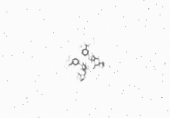 CC(F)(F)c1cc(-n2cc(Cn3ccnc3CCO)nn2)ccc1F.Cc1nccn1Cc1cn(-c2ccc(F)c(C(C)(F)F)c2)nn1